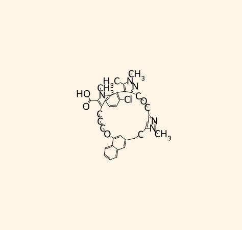 Cc1c2c(nn1C)COCc1cc(n(C)n1)CCc1cc(c3ccccc3c1)OCCCc1c(C(=O)O)n(C)c3c-2c(Cl)ccc13